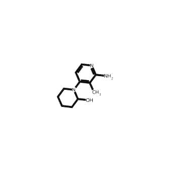 Cc1c(N2CCCCC2O)ccnc1N